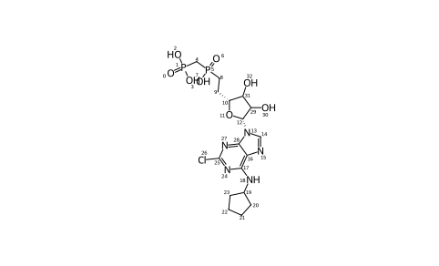 O=P(O)(O)CP(=O)(O)CC[C@H]1O[C@@H](n2cnc3c(NC4CCCC4)nc(Cl)nc32)C(O)C1O